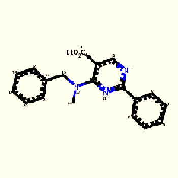 CCOC(=O)c1cnc(-c2ccccc2)nc1N(C)Cc1ccccc1